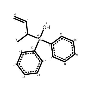 C=CC(C)[Si](O)(c1ccccc1)c1ccccc1